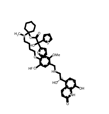 COc1cc(OCCCCN(C)C2(OC(=O)C(O)(c3cccs3)c3cccs3)CCCCC2)c(Cl)cc1CNC[C@@H](O)c1ccc(O)c2[nH]c(=O)ccc12.F